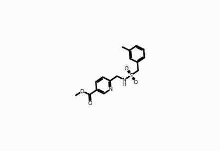 COC(=O)c1ccc(CNS(=O)(=O)Cc2cccc(C)c2)nc1